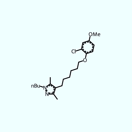 CCCCn1nc(C)c(CCCCCCOc2ccc(OC)cc2Cl)c1C